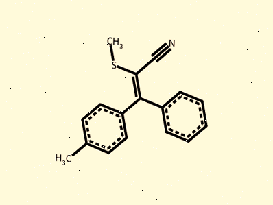 CS/C(C#N)=C(/c1ccccc1)c1ccc(C)cc1